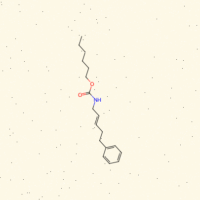 CCCCCCOC(=O)NC/C=C/CCc1ccccc1